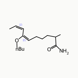 C/C=C\C(=C/CCCC(C)C(N)=O)OCCCC